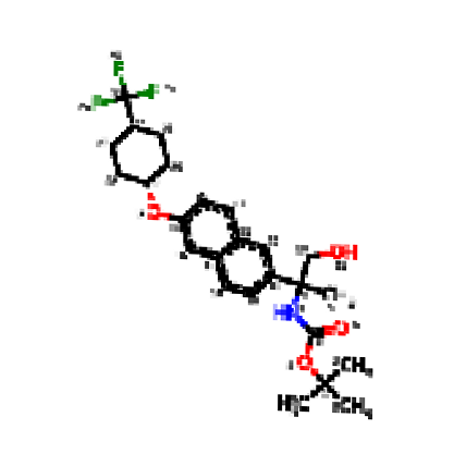 CC(C)(C)OC(=O)N[C@@](C)(CO)c1ccc2cc(O[C@H]3CC[C@H](C(F)(F)F)CC3)ccc2c1